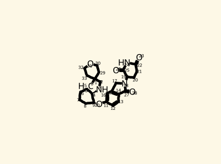 CC1(CN[C@@H]2CCCC[C@H]2Oc2ccc3c(c2)CN(C2CCC(=O)NC2=O)C3=O)CCOCC1